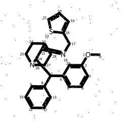 COc1cccc(C(c2ccccc2)C2C(=NCc3cccs3)C3CCN2CC3)c1